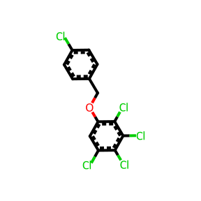 Clc1ccc(COc2cc(Cl)c(Cl)c(Cl)c2Cl)cc1